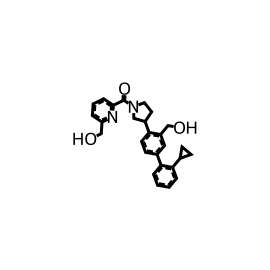 O=C(c1cccc(CO)n1)N1CCC(c2ccc(-c3ccccc3C3CC3)cc2CO)C1